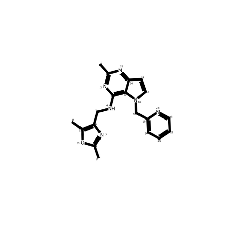 Cc1nc(NCc2nc(C)oc2C)c2c(ccn2Cc2ccccn2)n1